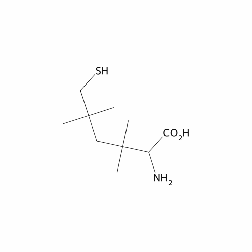 CC(C)(CS)CC(C)(C)C(N)C(=O)O